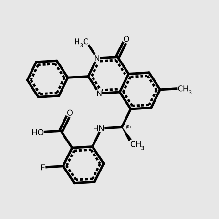 Cc1cc([C@@H](C)Nc2cccc(F)c2C(=O)O)c2nc(-c3ccccc3)n(C)c(=O)c2c1